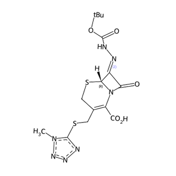 Cn1nnnc1SCC1=C(C(=O)O)N2C(=O)/C(=N/NC(=O)OC(C)(C)C)[C@H]2SC1